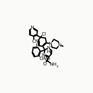 COc1cccc(F)c1C1(C2=C(N3CCN(C)CC3)CC(Cl)(c3cnccc3C#N)C=C2)N=C(C(N)=O)C=CN1